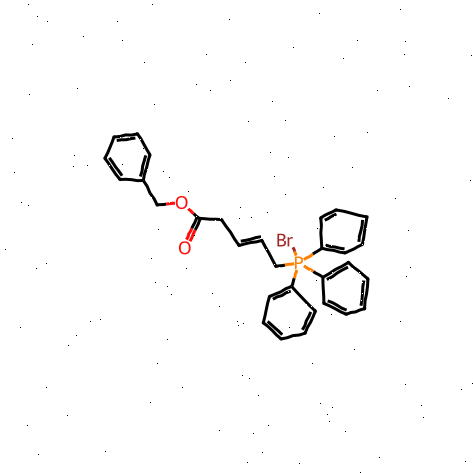 O=C(CC=CCP(Br)(c1ccccc1)(c1ccccc1)c1ccccc1)OCc1ccccc1